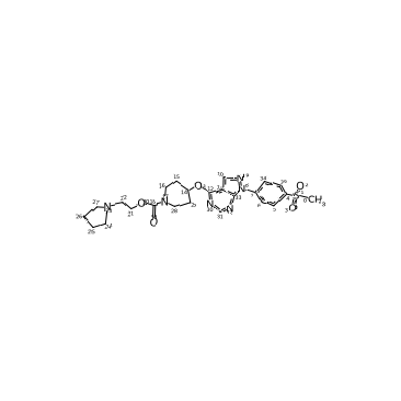 CS(=O)(=O)c1ccc(-n2ncc3c(OC4CCN(C(=O)OCCN5CCCC5)CC4)ncnc32)cc1